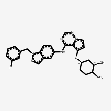 NC1CC[C@@H](Oc2ccn3ncnc(Nc4ccc5c(cnn5Cc5cccc(F)c5)c4)c23)C[C@H]1O